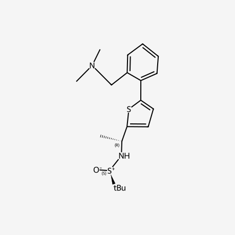 C[C@@H](N[S@+]([O-])C(C)(C)C)c1ccc(-c2ccccc2CN(C)C)s1